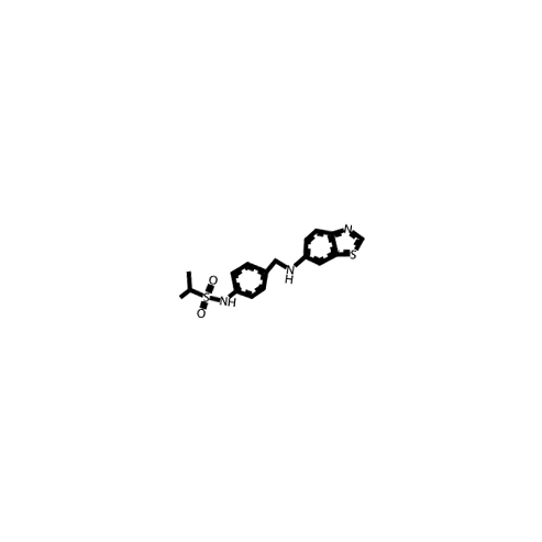 CC(C)S(=O)(=O)Nc1ccc(CNc2ccc3ncsc3c2)cc1